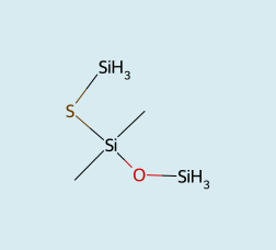 C[Si](C)(O[SiH3])S[SiH3]